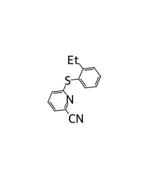 CCc1ccccc1Sc1cccc(C#N)n1